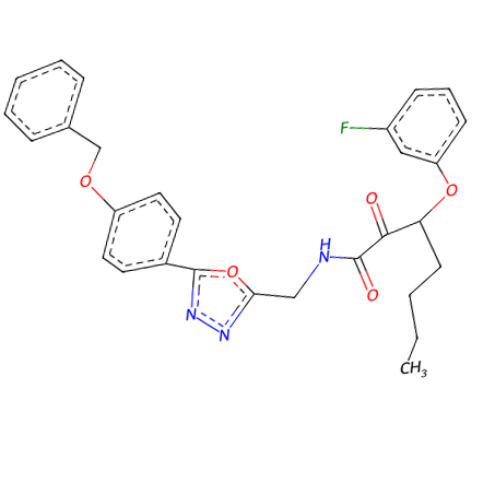 CCCCC(Oc1cccc(F)c1)C(=O)C(=O)NCc1nnc(-c2ccc(OCc3ccccc3)cc2)o1